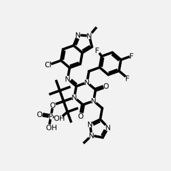 Cn1cnc(Cn2c(=O)n(Cc3cc(F)c(F)cc3F)c(=Nc3cc4cn(C)nc4cc3Cl)n(C(OP(=O)(O)O)(C(C)(C)C)C(C)(C)C)c2=O)n1